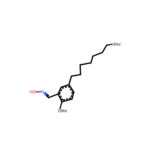 CCCCCCCCCCCCCCCCCc1ccc(OC)c(C=NO)c1